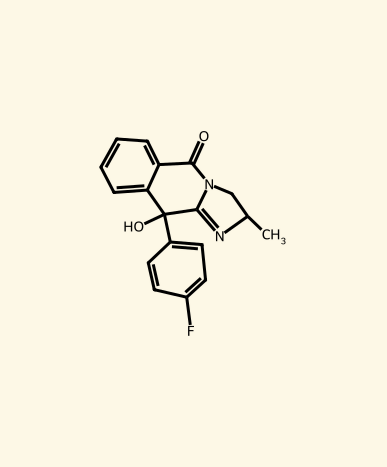 CC1CN2C(=O)c3ccccc3C(O)(c3ccc(F)cc3)C2=N1